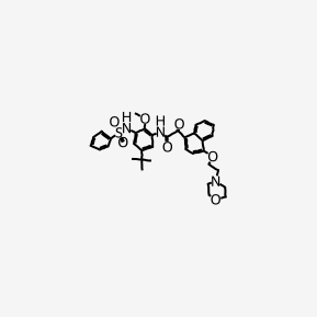 COc1c(NC(=O)C(=O)c2ccc(OCCN3CCOCC3)c3ccccc23)cc(C(C)(C)C)cc1NS(=O)(=O)c1ccccc1